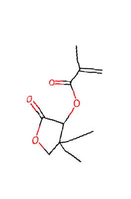 C=C(C)C(=O)OC1C(=O)OCC1(C)C